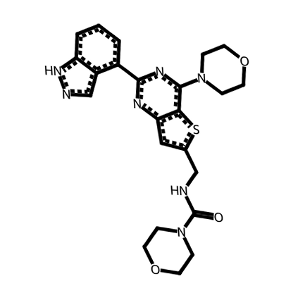 O=C(NCc1cc2nc(-c3cccc4[nH]ncc34)nc(N3CCOCC3)c2s1)N1CCOCC1